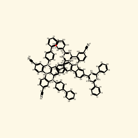 N#Cc1ccc(-n2c3ccc(-c4cc5c6c(c4)N(c4ccc(-c7ccccc7)cc4)c4cc(C#N)ccc4B6c4ccc(C#N)cc4N5c4ccc(-c5ccccc5)cc4)cc3c3ccc(-c4nc(-c5ccccc5)nc(-c5ccccc5)n4)cc32)c(-c2nc(-c3ccccc3)nc(-c3ccccc3)n2)c1